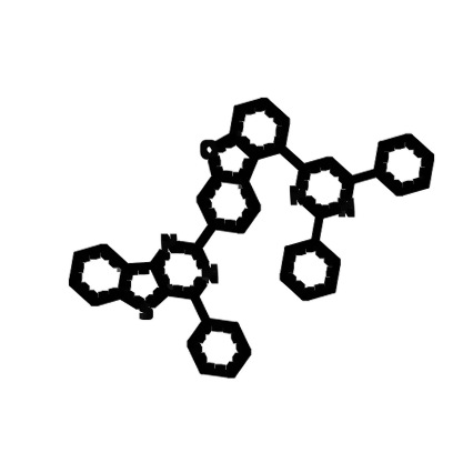 c1ccc(-c2cc(-c3cccc4oc5cc(-c6nc(-c7ccccc7)c7sc8ccccc8c7n6)ccc5c34)nc(-c3ccccc3)n2)cc1